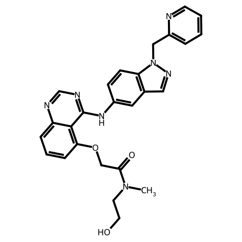 CN(CCO)C(=O)COc1cccc2ncnc(Nc3ccc4c(cnn4Cc4ccccn4)c3)c12